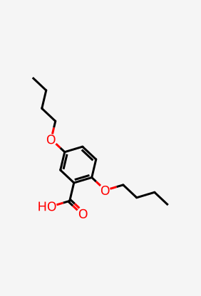 CCCCOc1ccc(OCCCC)c(C(=O)O)c1